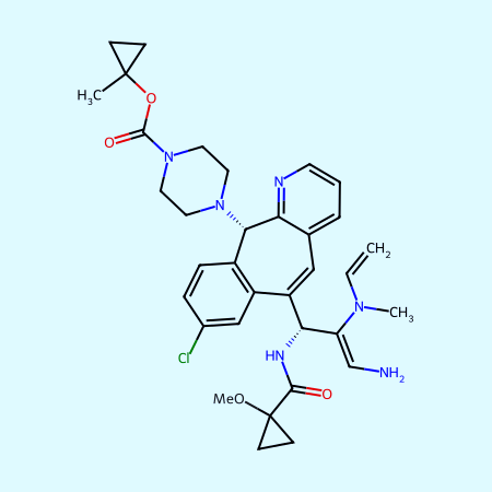 C=CN(C)/C(=C\N)[C@H](NC(=O)C1(OC)CC1)C1=Cc2cccnc2[C@@H](N2CCN(C(=O)OC3(C)CC3)CC2)c2ccc(Cl)cc21